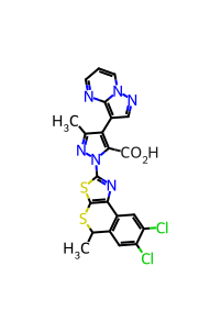 Cc1nn(-c2nc3c(s2)SC(C)c2cc(Cl)c(Cl)cc2-3)c(C(=O)O)c1-c1cnn2cccnc12